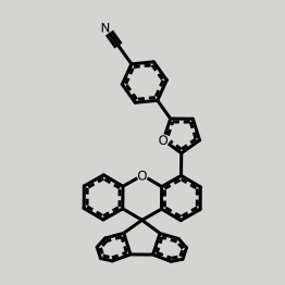 N#Cc1ccc(-c2ccc(-c3cccc4c3Oc3ccccc3C43c4ccccc4-c4ccccc43)o2)cc1